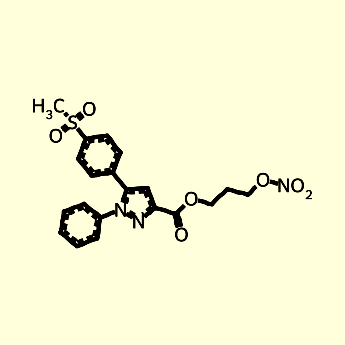 CS(=O)(=O)c1ccc(-c2cc(C(=O)OCCCO[N+](=O)[O-])nn2-c2ccccc2)cc1